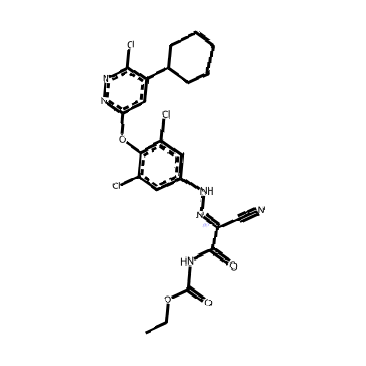 CCOC(=O)NC(=O)/C(C#N)=N/Nc1cc(Cl)c(Oc2cc(C3CCCCC3)c(Cl)nn2)c(Cl)c1